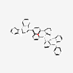 c1ccc(N2c3ccccc3B3c4cccc(-c5ccc(-c6cc7oc8ccccc8c7c7ccccc67)cc5)c4N(c4ccccc4)c4cccc2c43)cc1